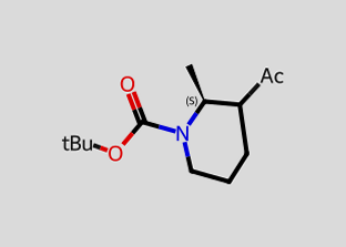 CC(=O)C1CCCN(C(=O)OC(C)(C)C)[C@H]1C